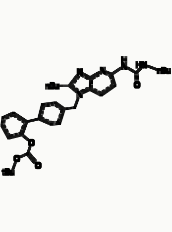 CCCCNC(=O)Nc1ccc2c(n1)nc(CCCC)n2Cc1ccc(-c2ccccc2OC(=O)OC(C)(C)C)cc1